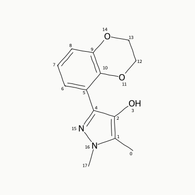 Cc1c(O)c(-c2cccc3c2OCCO3)nn1C